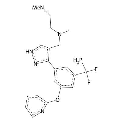 CNCCN(C)Cc1c[nH]nc1-c1cc(Oc2ccccn2)cc(C(F)(F)P)c1